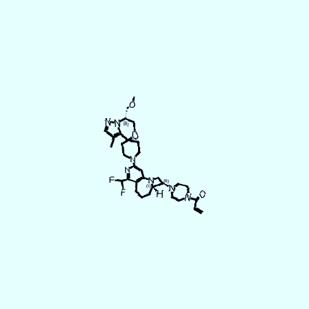 C=CC(=O)N1CCN([C@@H]2CN3c4cc(N5CCC6(CC5)OC[C@@H](COC)n5ncc(C)c56)nc(C(F)F)c4CCC[C@@H]23)CC1